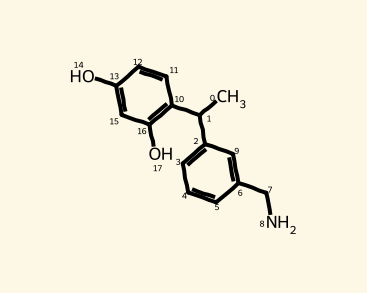 CC(c1cccc(CN)c1)c1ccc(O)cc1O